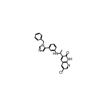 CC(Nc1cccc(-c2cncn2Cc2ccccc2)c1)c1cc2cc(Cl)cnc2[nH]c1=O